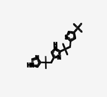 CC(C)(C)c1csc(CC(C)(C)c2nc(CC(C)(C)c3c[nH]cn3)c[nH]2)c1